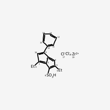 CCC1=C2C(=CC(CC)=C2S(=O)(=O)O)C(c2ccccc2)=C1.[Cl-].[Cl-].[Zr+2]